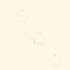 C1=CC(c2ccc3c(c2)OCCO3)Oc2ccc(C3COc4ccccc4C3)cc21